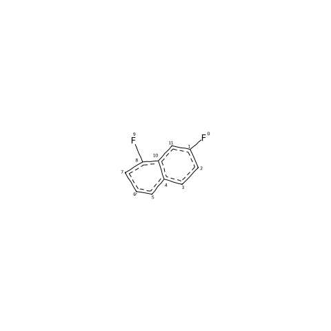 Fc1ccc2c[c]cc(F)c2c1